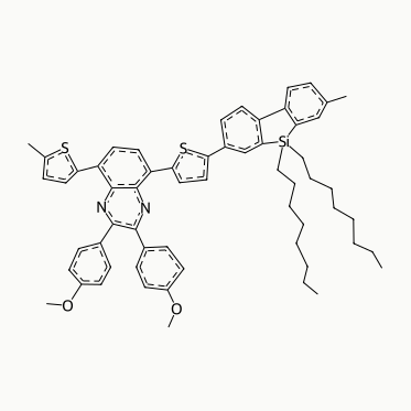 CCCCCCCC[Si]1(CCCCCCCC)c2cc(C)ccc2-c2ccc(-c3ccc(-c4ccc(-c5ccc(C)s5)c5nc(-c6ccc(OC)cc6)c(-c6ccc(OC)cc6)nc45)s3)cc21